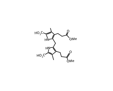 COC(=O)CCc1c(Cc2[nH]c(C(=O)O)c(C)c2CCC(=O)OC)[nH]c(C(=O)O)c1C